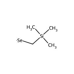 C[Si](C)(C)C[Se]